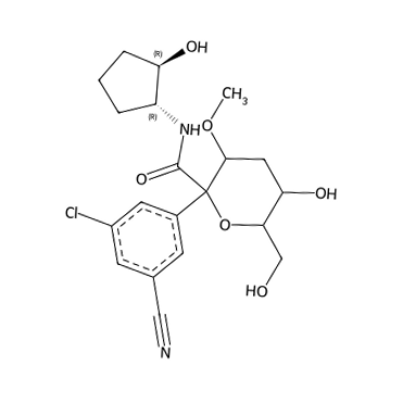 COC1CC(O)C(CO)OC1(C(=O)N[C@@H]1CCC[C@H]1O)c1cc(Cl)cc(C#N)c1